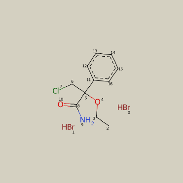 Br.Br.CCOC(CCl)(C(N)=O)c1ccccc1